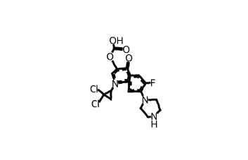 O=C(O)Oc1cn(C2CC2(Cl)Cl)c2cc(N3CCNCC3)c(F)cc2c1=O